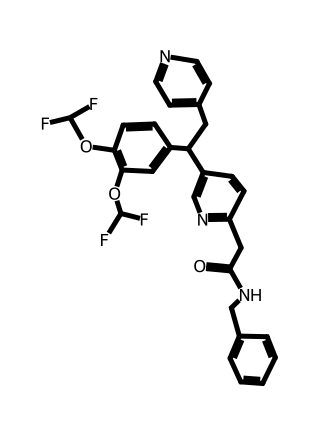 O=C(Cc1ccc(C(Cc2ccncc2)c2ccc(OC(F)F)c(OC(F)F)c2)cn1)NCc1ccccc1